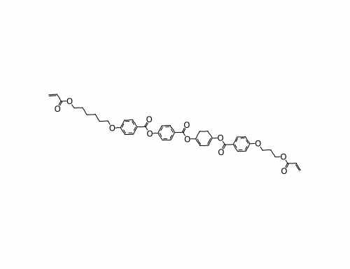 C=CC(=O)OCCCCCCOc1ccc(C(=O)Oc2ccc(C(=O)OC3=CC=C(OC(=O)c4ccc(OCCCOC(=O)C=C)cc4)CC3)cc2)cc1